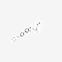 C[C@@](CCN1Cc2c(ccc(-c3ccc(CCN4CCOCC4)cc3)c2F)C1=O)(CN(O)C(=O)C(F)(F)F)S(C)(=O)=O